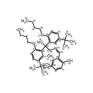 CCCCOc1ccc(C(C)(C)C)cc1C(O)(c1cc(C(C)(C)C)ccc1OCCCC)[C@@H](C)N=Cc1cc(Br)ccc1O